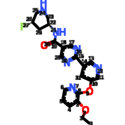 CCOc1cccnc1Oc1cncc(-c2ncc(C(=O)N[C@H]3CNC[C@@H](F)C3)cn2)c1